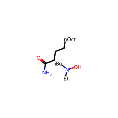 CCC(C)N(O)CC.CCCCCCCCCCCC(N)=O